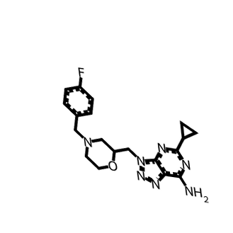 Nc1nc(C2CC2)nc2c1nnn2CC1CN(Cc2ccc(F)cc2)CCO1